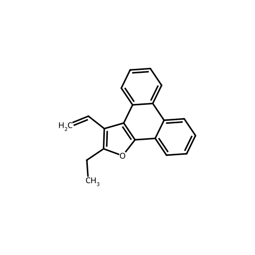 C=Cc1c(CC)oc2c3ccccc3c3ccccc3c12